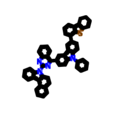 C1=Cc2sc3c(-c4ccc5c(c4)c4cc(-c6nc(-n7c8ccccc8c8c9ccccc9ccc87)nc7ccccc67)ccc4n5-c4ccccc4)cccc3c2CC1